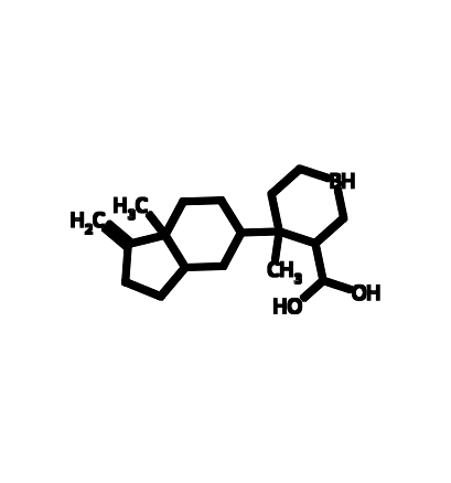 C=C1CCC2CC(C3(C)CCBCC3C(O)O)CCC12C